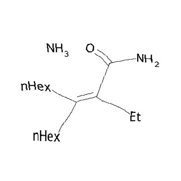 CCCCCCC(CCCCCC)=C(CC)C(N)=O.N